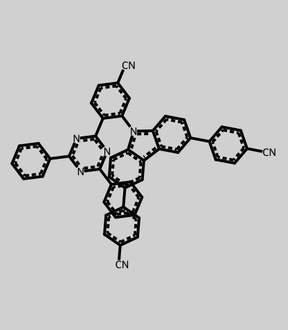 N#Cc1ccc(-c2ccc3c(c2)c2cc(-c4ccc(C#N)cc4)ccc2n3-c2cc(C#N)ccc2-c2nc(-c3ccccc3)nc(-c3ccccc3)n2)cc1